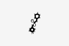 O=C(CC1CC[CH]CC1)OCc1ccccc1